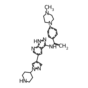 C=C(Nc1n[nH]c2ncc(-c3cnn(C4CCNCC4)c3)cc12)c1ccc(N2CCN(C)CC2)cc1